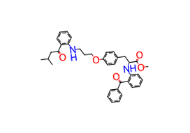 COC(=O)C(Cc1ccc(OCCCNc2ccccc2C(=O)CC(C)C)cc1)Nc1ccccc1C(=O)c1ccccc1